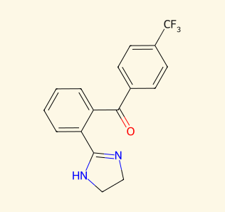 O=C(c1ccc(C(F)(F)F)cc1)c1ccccc1C1=NCCN1